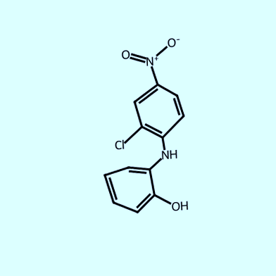 O=[N+]([O-])c1ccc(Nc2ccccc2O)c(Cl)c1